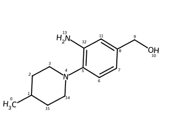 CC1CCN(c2ccc(CO)cc2N)CC1